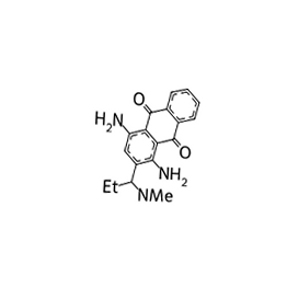 CCC(NC)c1cc(N)c2c(c1N)C(=O)c1ccccc1C2=O